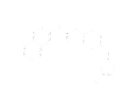 Nc1ncc(CN2CCN(CC(=O)Nc3ccc4ncccc4c3)CC2)s1